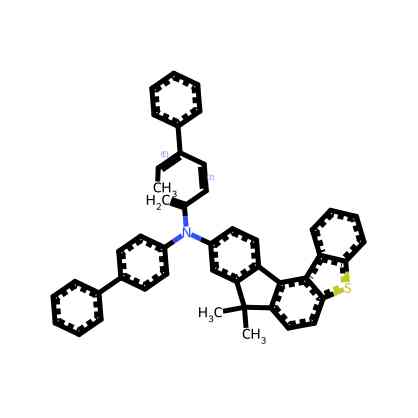 C=C(/C=C\C(=C/C)c1ccccc1)N(c1ccc(-c2ccccc2)cc1)c1ccc2c(c1)C(C)(C)c1ccc3sc4ccccc4c3c1-2